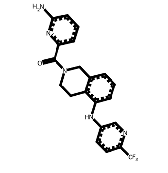 Nc1cccc(C(=O)N2CCc3c(cccc3Nc3ccc(C(F)(F)F)nc3)C2)n1